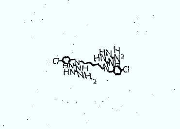 N=C(N)NC(=N)N(CCCCCCN(Cc1ccc(Cl)cc1)C(=N)NC(=N)N)Cc1ccc(Cl)cc1